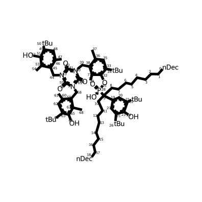 CCCCCCCCCCCCCCCCCCC(CCCCCCCCCCCCCCCCCC)(c1cc(C(C)(C)C)c(O)c(C(C)(C)C)c1)P(=O)(O)Oc1c(C(C)(C)C)cc(C)c(Cn2c(=O)n(Cc3c(C)cc(C(C)(C)C)c(O)c3C)c(=O)n(Cc3c(C)cc(C(C)(C)C)c(O)c3C)c2=O)c1C